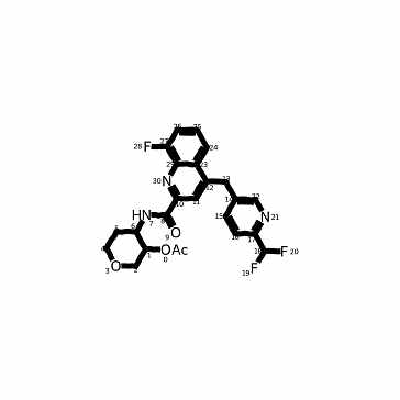 CC(=O)OC1COCCC1NC(=O)c1cc(Cc2ccc(C(F)F)nc2)c2cccc(F)c2n1